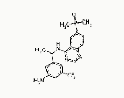 CC(Nc1ncnc2ccc(P(C)(C)=O)cc12)c1cc(N)cc(C(F)(F)F)c1